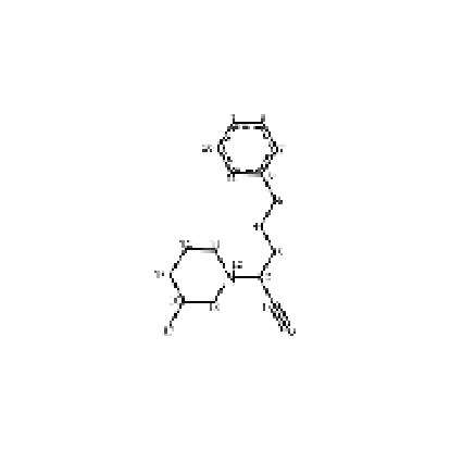 C#CC(CCCc1ccccc1)N1CCCC(C)C1